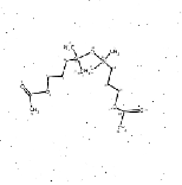 CC(=O)OCCC[Si](C)(C)O[Si](C)(C)CCCOC(C)=O